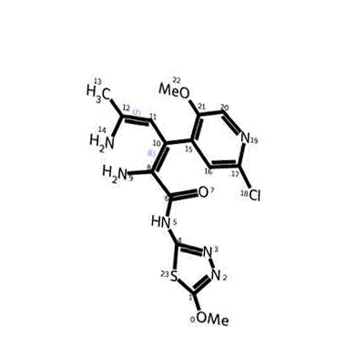 COc1nnc(NC(=O)/C(N)=C(/C=C(/C)N)c2cc(Cl)ncc2OC)s1